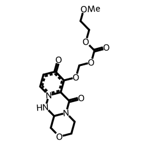 COCCOC(=O)OCOc1c2n(ccc1=O)NC1COCCN1C2=O